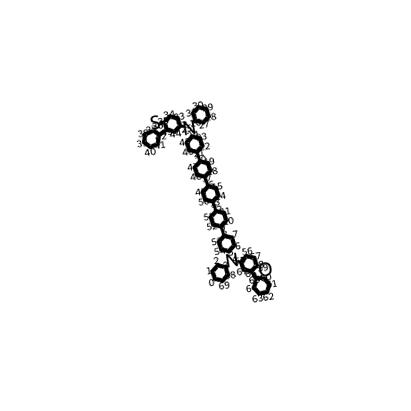 c1ccc(N(c2ccc(-c3ccc(-c4ccc(-c5ccc(-c6ccc(N(c7ccccc7)c7ccc8sc9ccccc9c8c7)cc6)cc5)cc4)cc3)cc2)c2ccc3oc4ccccc4c3c2)cc1